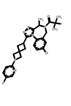 CC1c2nnc(C3CC4(C3)CN(c3ccc(F)cn3)C4)n2-c2ccc(Cl)cc2CN1C(=O)C(C)(C)F